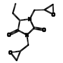 CCC1C(=O)N(CC2CO2)C(=O)N1CC1CO1